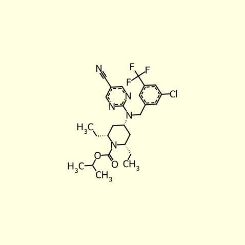 CC[C@@H]1C[C@H](N(Cc2cc(Cl)cc(C(F)(F)F)c2)c2ncc(C#N)cn2)C[C@H](CC)N1C(=O)OC(C)C